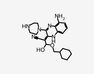 N#C/C(=C1/Nc2cccc(N)c2N=C1N1CCNCC1)C(O)OCC1CCCCC1